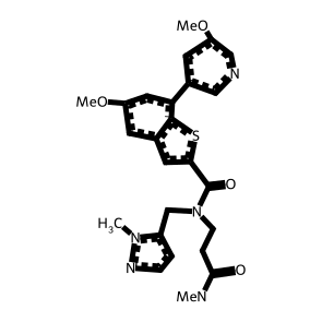 CNC(=O)CCN(Cc1ccnn1C)C(=O)c1cc2cc(OC)cc(-c3cncc(OC)c3)c2s1